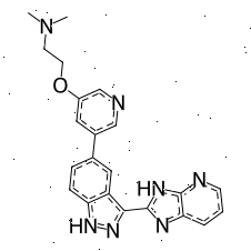 CN(C)CCOc1cncc(-c2ccc3[nH]nc(-c4nc5cccnc5[nH]4)c3c2)c1